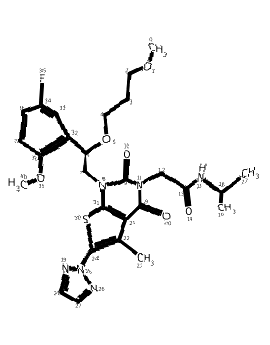 COCCCO[C@@H](Cn1c(=O)n(CC(=O)NC(C)C)c(=O)c2c(C)c(-n3nccn3)sc21)c1cc(F)ccc1OC